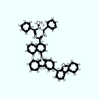 C=N/C(=N\C(=N/Cc1ccccc1)c1ccc(-n2c3ccccc3c3cc(-c4cccc5c4oc4ccccc45)ccc32)c2ccccc12)c1ccccc1